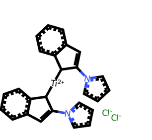 C1=C(n2cccc2)[CH]([Ti+2][CH]2C(n3cccc3)=Cc3ccccc32)c2ccccc21.[Cl-].[Cl-]